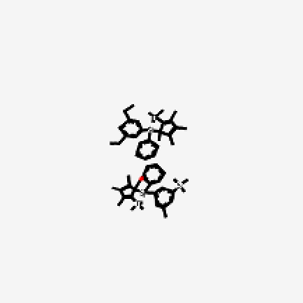 CC1=C(C)C(C)([Si](C)(c2ccccc2)c2cc(C)cc([Si](C)(C)C)c2)[C]([Ti]([CH3])([CH3])[CH3])=C1C.CCc1cc(CC)cc([Si](C)(c2ccccc2)C2(C)C(C)=C(C)C(C)=[C]2[Ti]([CH3])([CH3])[CH3])c1